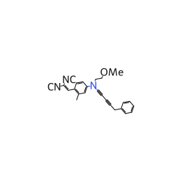 [C-]#[N+]C(=Cc1ccc(N(C#CC#CCc2ccccc2)CCOC)cc1C)[N+]#[C-]